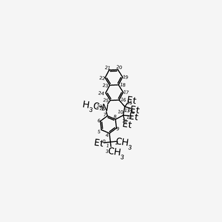 CCC(C)(C)c1ccc2c(c1)C(CC)(CC)C(CC)(CC)c1cc3ccccc3cc1N2C